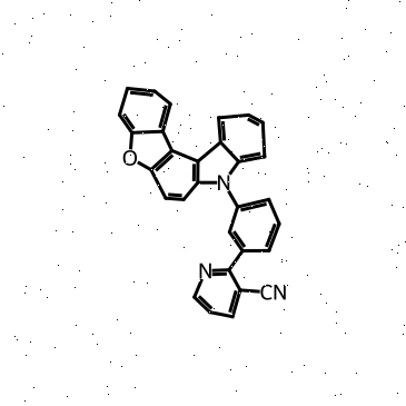 N#Cc1cccnc1-c1cccc(-n2c3ccccc3c3c4c(ccc32)oc2ccccc24)c1